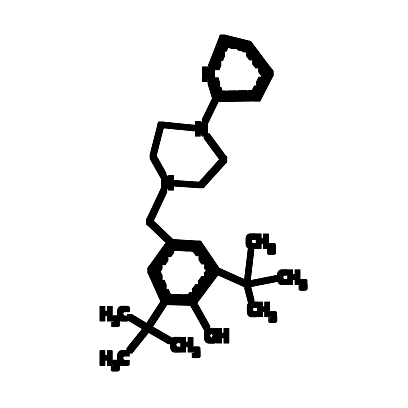 CC(C)(C)c1cc(CN2CCN(c3ccccn3)CC2)cc(C(C)(C)C)c1O